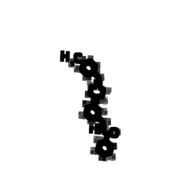 Cc1ccc(CN2CCN(c3cccc(CNC(=O)c4ccccc4)c3)CC2)cc1